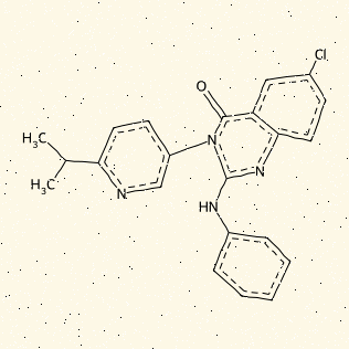 CC(C)c1ccc(-n2c(Nc3ccccc3)nc3ccc(Cl)cc3c2=O)cn1